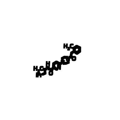 Cc1ccccc1CC(=O)N1CCN(c2ccc(C(=O)NC(C)CC(C)C)cn2)CC1